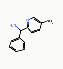 NC(c1ccccc1)c1ccc([N+](=O)[O-])cn1